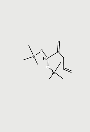 C=CCC(=C)[SiH](O[Si](C)(C)C)O[Si](C)(C)C